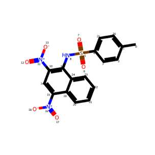 Cc1ccc(S(=O)(=O)Nc2c([N+](=O)[O-])cc([N+](=O)[O-])c3ccccc23)cc1